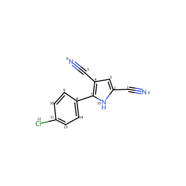 N#Cc1cc(C#N)c(-c2ccc(Cl)cc2)[nH]1